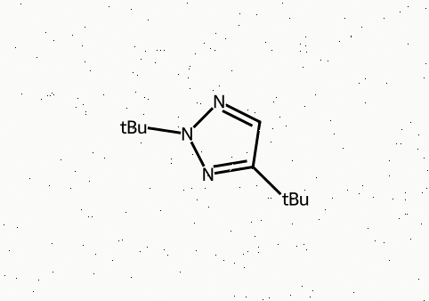 CC(C)(C)c1cnn(C(C)(C)C)n1